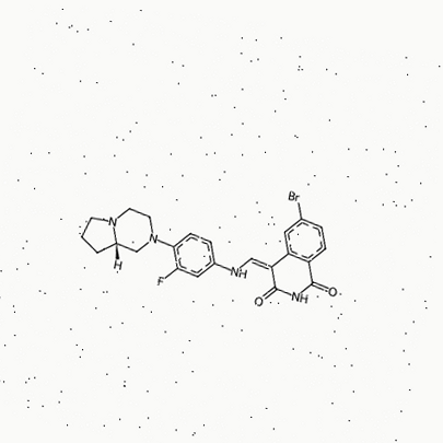 O=C1NC(=O)c2ccc(Br)cc2C1=CNc1ccc(N2CCN3CCC[C@H]3C2)c(F)c1